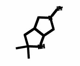 CC(C)N1CC2CC(C)(C)NC2C1